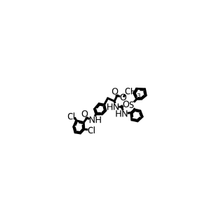 COC(=O)C(Cc1ccc(NC(=O)c2c(Cl)cccc2Cl)cc1)NC(=O)Nc1ccccc1Sc1ccccc1